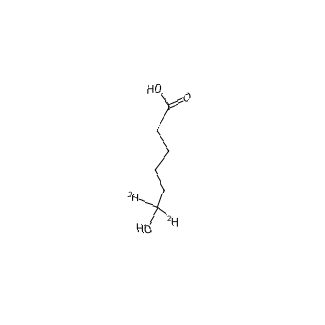 [2H]C([2H])(O)CCCCC(=O)O